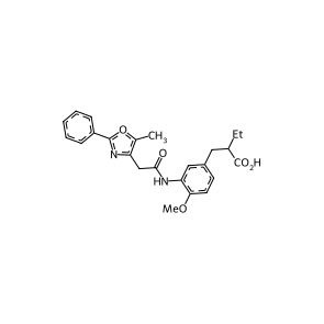 CCC(Cc1ccc(OC)c(NC(=O)Cc2nc(-c3ccccc3)oc2C)c1)C(=O)O